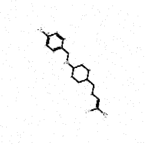 N#CC(F)=CCCC1CCC(OCc2ccc(C(F)(F)F)cc2)CC1